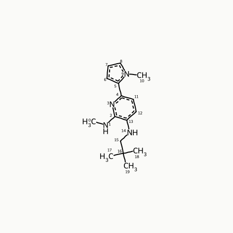 CNc1nc(-c2cccn2C)ccc1NCC(C)(C)C